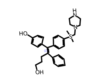 CS(C)(CN1CCNCC1)c1ccc(/C(=C(/CCCO)c2ccccc2)c2ccc(O)cc2)cc1